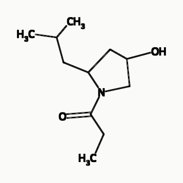 CCC(=O)N1CC(O)CC1CC(C)C